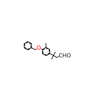 Cc1cc(C(C)(C)CC=O)ccc1OCc1ccccc1